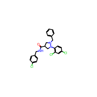 O=C(NCc1ccc(Cl)cc1)C1CN(Cc2ccccc2)N(c2ccc(Cl)cc2Cl)C1